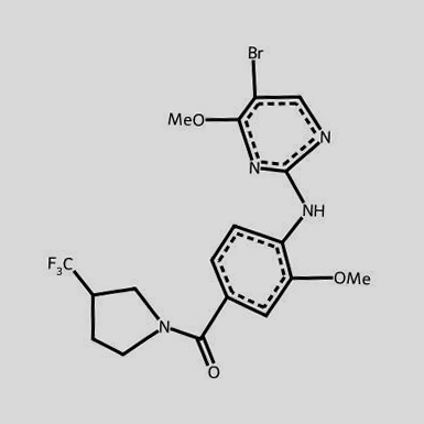 COc1cc(C(=O)N2CCC(C(F)(F)F)C2)ccc1Nc1ncc(Br)c(OC)n1